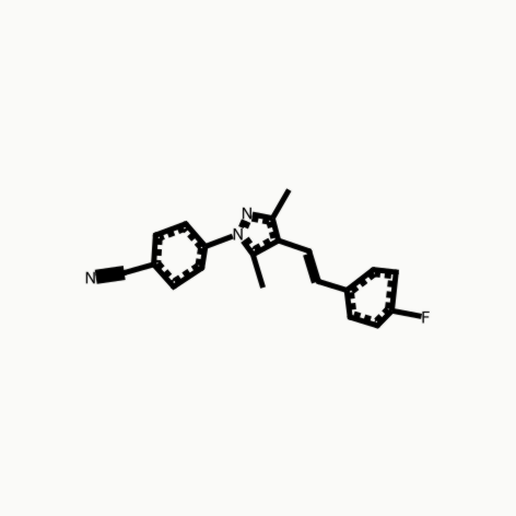 Cc1nn(-c2ccc(C#N)cc2)c(C)c1C=Cc1ccc(F)cc1